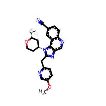 COc1ccc(Cc2nc3cnc4ccc(C#N)cc4c3n2[C@@H]2CCO[C@H](C)C2)nc1